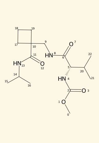 COC(=O)N[C@H](C(=O)NCC1(C(=O)NC(C)C)CCC1)C(C)C